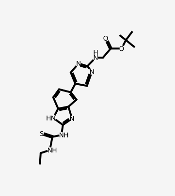 CCNC(=S)Nc1nc2cc(-c3cnc(NCC(=O)OC(C)(C)C)nc3)ccc2[nH]1